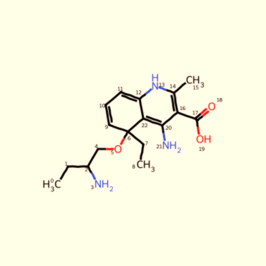 CCC(N)COC1(CC)C=CC=C2NC(C)=C(C(=O)O)C(N)=C21